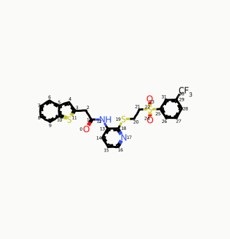 O=C(Cc1cc2ccccc2s1)Nc1cccnc1SCCS(=O)(=O)c1cccc(C(F)(F)F)c1